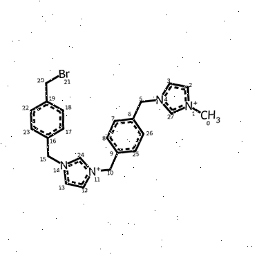 C[n+]1ccn(Cc2ccc(C[n+]3ccn(Cc4ccc(CBr)cc4)c3)cc2)c1